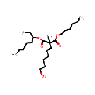 CCCCCCOC(=O)C(C)(CCCCCCO)C(=O)OC(CC)CCCCC